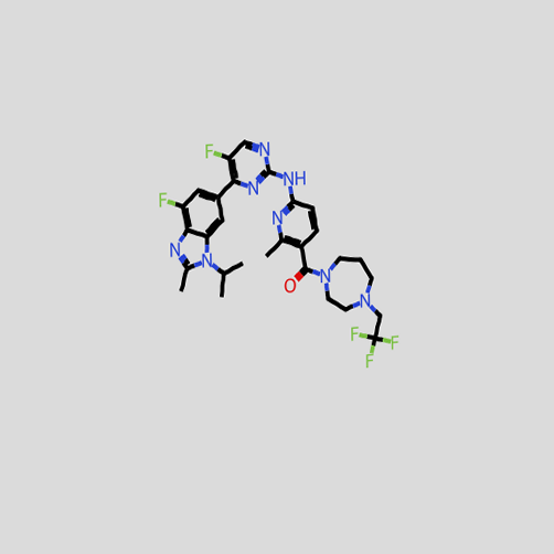 Cc1nc(Nc2ncc(F)c(-c3cc(F)c4nc(C)n(C(C)C)c4c3)n2)ccc1C(=O)N1CCCN(CC(F)(F)F)CC1